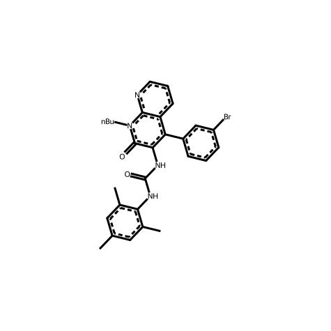 CCCCn1c(=O)c(NC(=O)Nc2c(C)cc(C)cc2C)c(-c2cccc(Br)c2)c2cccnc21